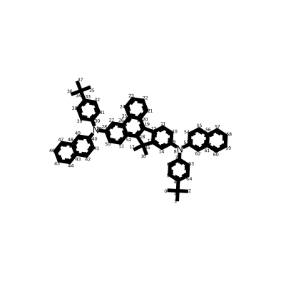 CC(C)(C)c1ccc(N(c2ccc3c(c2)C(C)(C)c2c-3c3ccccc3c3cc(N(c4ccc(C(C)(C)C)cc4)c4ccc5ccccc5c4)ccc23)c2ccc3ccccc3c2)cc1